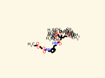 C=CC(=O)OCCOC(=O)NCC1CC2CC(CCNC(=O)OCC(CCC[Si](C)(O[Si](C)(C)C)O[Si](C)(C)C)(CC[Si](C)(O[Si](C)(C)C)O[Si](C)(C)C)COC)C1C2